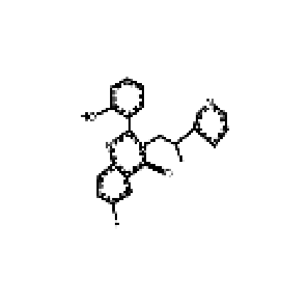 CC(Cn1c(-c2ccccc2O)nc2ccc(F)cc2c1=O)c1cccnc1